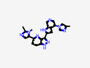 Cc1cn(-c2cncc3[nH]c(-c4n[nH]c5ccc(-c6cnc(C)n6C)nc45)cc23)cn1